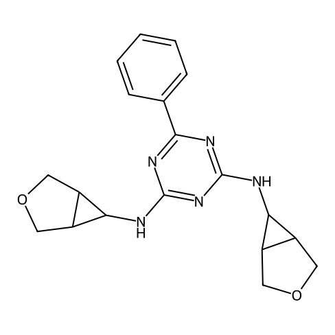 c1ccc(-c2nc(NC3C4COCC43)nc(NC3C4COCC43)n2)cc1